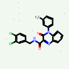 O=C(NCc1ccc(Cl)c(Cl)c1)c1nc2ccccc2n(-c2cccc(C(F)(F)F)c2)c1=O